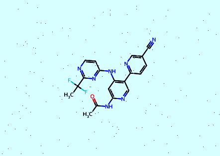 CC(=O)Nc1cc(Nc2ccnc(C(C)(F)F)n2)c(-c2ccc(C#N)cn2)cn1